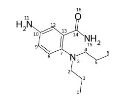 CCCN(CCC)c1ccc(N)cc1C(N)=O